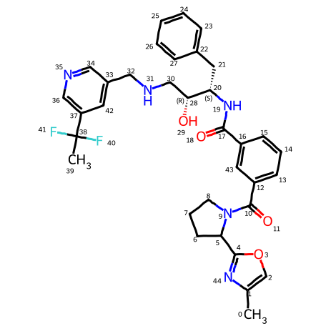 Cc1coc(C2CCCN2C(=O)c2cccc(C(=O)N[C@@H](Cc3ccccc3)[C@H](O)CNCc3cncc(C(C)(F)F)c3)c2)n1